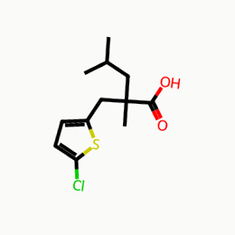 CC(C)CC(C)(Cc1ccc(Cl)s1)C(=O)O